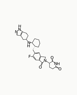 O=C1CCC(N2Cc3cc(C[C@H]4CCCC[C@@H]4NC4CCc5[nH]ncc5C4)c(F)cc3C2=O)C(=O)N1